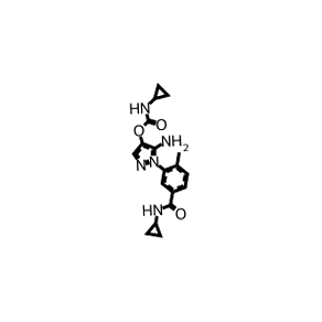 Cc1ccc(C(=O)NC2CC2)cc1-n1ncc(OC(=O)NC2CC2)c1N